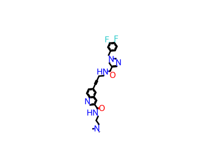 CN(C)CCCNC(=O)c1cnc2ccc(C#CCCNC(=O)C3=CN=CN(Cc4ccc(F)c(F)c4)C3)cc2c1